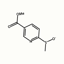 COC(=O)c1ccc([S+](C)[O-])nc1